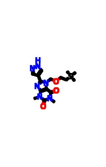 Cn1c(=O)c2c(nc(-c3cn[nH]c3)n2COCC[Si](C)(C)C)n(C)c1=O